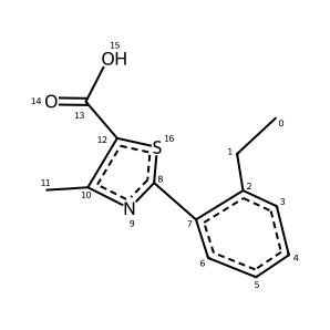 CCc1ccccc1-c1nc(C)c(C(=O)O)s1